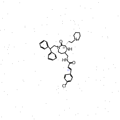 O=C(/C=C/c1ccc(Cl)cc1)NCC1CCN(CC(c2ccccc2)c2ccccc2)C(=O)[C@H](CCN2CCCCC2)N1